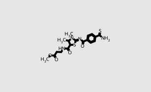 COC(=O)CCNC(=O)C1SC(=NC(=O)c2ccc(C(N)=S)cc2)N(C)C1C